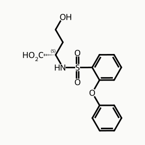 O=C(O)[C@H](CCO)NS(=O)(=O)c1ccccc1Oc1ccccc1